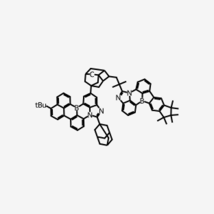 CC(C)(C)c1ccc2c3c(cccc13)B1c3c-2cccc3-n2c(C34CC5CC(CC(C5)C3)C4)nc3cc(C45CC6CC7C(CC(C)(C)c8nc9cccc%10c9n8-c8cccc9c8B%10c8cc%10c(cc8-9)C(C)(C)C(C)(C)C%10(C)C)C(C4)C7(C6)C5)cc1c32